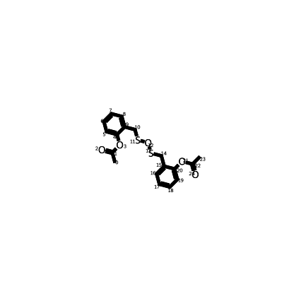 CC(=O)Oc1ccccc1CSOSCc1ccccc1OC(C)=O